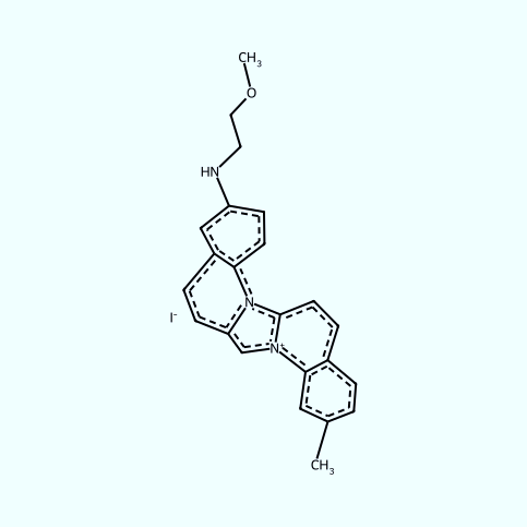 COCCNc1ccc2c(ccc3c[n+]4c5cc(C)ccc5ccc4n32)c1.[I-]